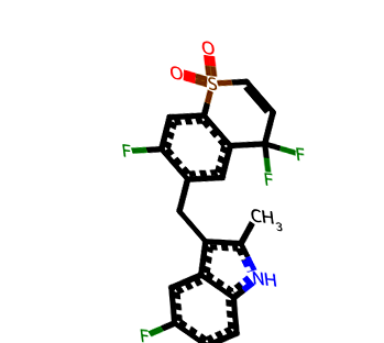 Cc1[nH]c2ccc(F)cc2c1Cc1cc2c(cc1F)S(=O)(=O)C=CC2(F)F